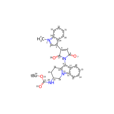 Cn1cc(C2=CC(=O)N(c3c4n(c5ccccc35)CC(NC(=O)OC(C)(C)C)CC4)C2=O)c2ccccc21